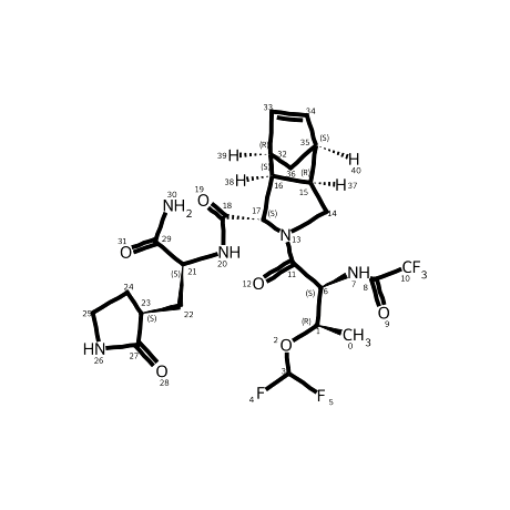 C[C@@H](OC(F)F)[C@H](NC(=O)C(F)(F)F)C(=O)N1C[C@H]2[C@@H]([C@H]1C(=O)N[C@@H](C[C@@H]1CCNC1=O)C(N)=O)[C@H]1C=C[C@@H]2C1